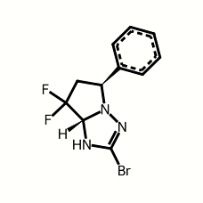 FC1(F)C[C@@H](c2ccccc2)N2N=C(Br)N[C@@H]21